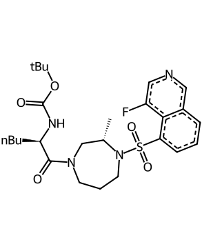 CCCC[C@@H](NC(=O)OC(C)(C)C)C(=O)N1CCCN(S(=O)(=O)c2cccc3cncc(F)c23)[C@@H](C)C1